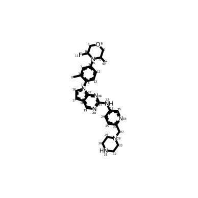 Cc1cc(N2C(F)COCC2F)ccc1-n1ccc2cnc(Nc3ccc(CN4CCNCC4)nc3)nc21